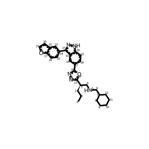 CCC[C@H](CNCC1CCCCC1)c1nnc(-c2ccc3[nH]nc(-c4ccc5occc5c4)c3c2)o1